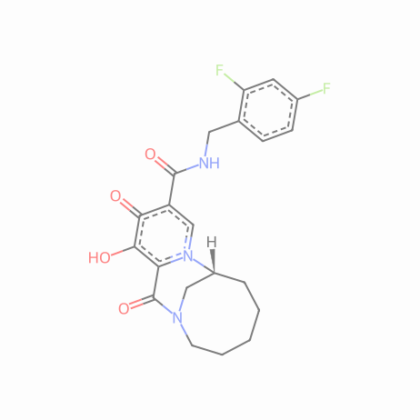 O=C(NCc1ccc(F)cc1F)c1cn2c(c(O)c1=O)C(=O)N1CCCCC[C@@H]2C1